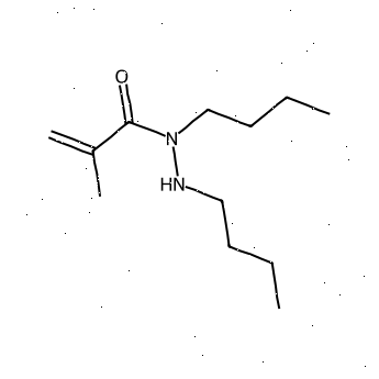 C=C(C)C(=O)N(CCCC)NCCCC